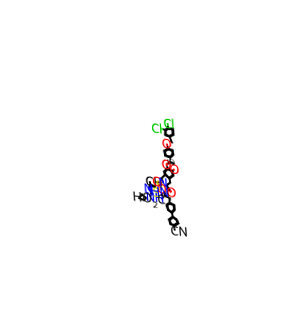 Cc1nc(NC2CCC2)sc1S(=O)(=O)N1Cc2cc3c(cc2CC1C(=O)N[C@@H](Cc1ccc(-c2ccc(C#N)cc2)cc1)C(=O)O)OC[C@H](c1ccc(OCc2ccc(Cl)c(Cl)c2)cc1)O3